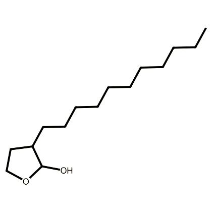 CCCCCCCCCCCC1CCOC1O